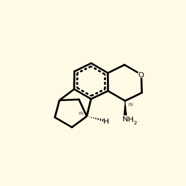 N[C@@H]1COCc2ccc3c(c21)[C@H]1CCC3C1